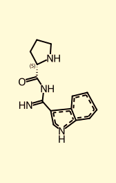 N=C(NC(=O)[C@@H]1CCCN1)c1c[nH]c2ccccc12